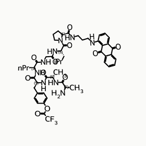 CCC[C@H](NC(=O)[C@H](Cc1ccc(OC(=O)C(F)(F)F)cc1)NC(=O)[C@H](C)NC(=O)[C@@H](C)N)C(=O)NCC(=O)N[C@@H](CC(C)C)C(=O)N1CCC[C@H]1C(=O)NCCCNc1cccc2c1C(=O)c1ccccc1C2=O